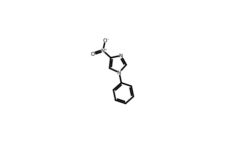 O=[N+]([O-])c1cn(-c2ccccc2)cn1